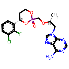 C[C@H](Cn1cnc2c(N)ncnc21)OCP1(=O)OCC[C@@H](c2cccc(Cl)c2F)O1